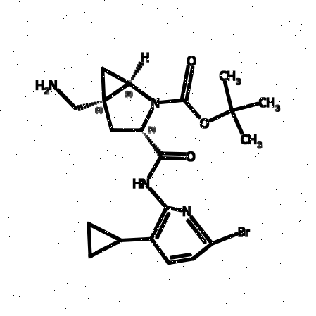 CC(C)(C)OC(=O)N1[C@H](C(=O)Nc2nc(Br)ccc2C2CC2)C[C@@]2(CN)C[C@@H]12